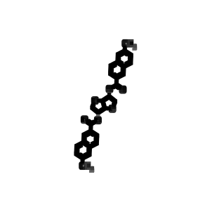 Cc1ccc2cc(C(=O)O[C@@H]3COC4C3OC[C@H]4OC(=O)c3ccc4cc(C)ccc4c3)ccc2c1